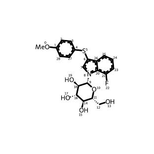 COc1ccc(Sc2cn([C@@H]3O[C@H](CO)[C@@H](O)[C@H](O)[C@H]3O)c3c(F)cccc23)cc1